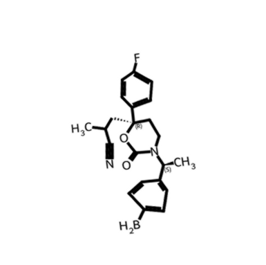 Bc1ccc([C@H](C)N2CC[C@](CC(C)C#N)(c3ccc(F)cc3)OC2=O)cc1